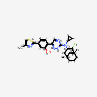 C[C@]12CCC[C@](C)(C1)[C@H](F)[C@H](N(c1ncc(-c3ccc(-c4nc(C#N)cs4)cc3O)nn1)C1CC1)C2